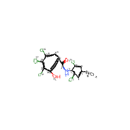 O=C(Nc1c(Cl)cc([N+](=O)[O-])cc1Cl)c1cc(Cl)c(Cl)c(Cl)c1O